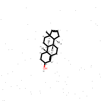 CC12C=CC[C@H]1[C@@H]1CCC3=CC(O)CC[C@@H]3[C@H]1CC2